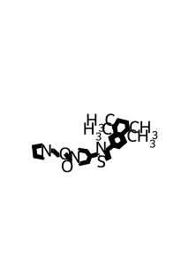 CC1(C)CCC(C)(C)c2cc(-c3csc(C4CCN(C(=O)OCCN5CCCC5)CC4)n3)ccc21